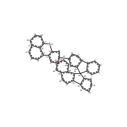 c1ccc2c(c1)-c1ccc(-c3ccc4c(c3)Sc3cccc5cccc-4c35)cc1C21c2ccccc2-c2ccc3ccccc3c21